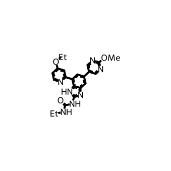 CCNC(=O)Nc1nc2cc(-c3cnc(OC)nc3)cc(-c3cc(OCC)ccn3)c2[nH]1